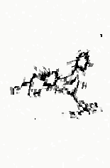 CC(=O)O.CC(O)CO.CCCCCC(O)O.CCCCOCCCC.c1ccc(Oc2ccccc2)cc1